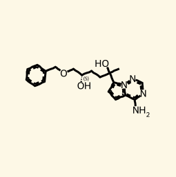 CC(O)(CC[C@H](O)COCc1ccccc1)c1ccc2c(N)ncnn12